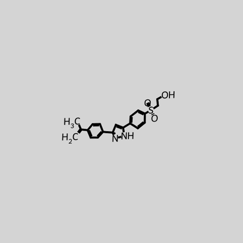 C=C(C)c1ccc(-c2cc(-c3ccc(S(=O)(=O)CCO)cc3)[nH]n2)cc1